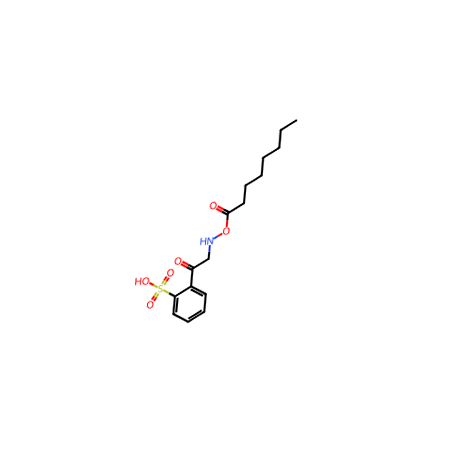 CCCCCCCC(=O)ONCC(=O)c1ccccc1S(=O)(=O)O